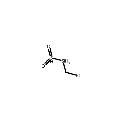 CCC[SiH2][SH](=O)=O